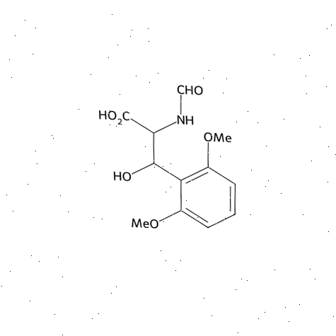 COc1cccc(OC)c1C(O)C(NC=O)C(=O)O